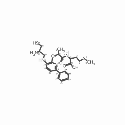 CSCCC(NC(=O)C(C)Oc1nc(-c2ccccc2)ccc1NCC(N)CS)C(=O)O